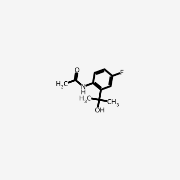 CC(=O)Nc1ccc(F)cc1C(C)(C)O